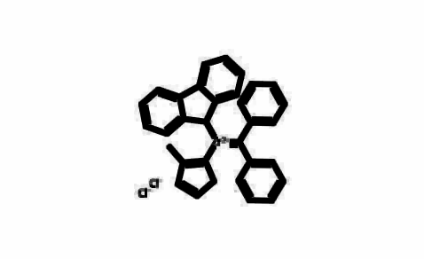 CC1=[C]([Zr+2](=[C](c2ccccc2)c2ccccc2)[CH]2c3ccccc3-c3ccccc32)CC=C1.[Cl-].[Cl-]